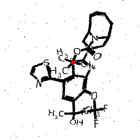 CC(C)(C)OC(=O)N1C2CCCC1CN(c1nc3c(OC(F)(F)F)c(C(C)(C)O)cc(-c4nccs4)c3o1)C2